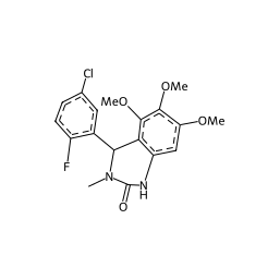 COc1cc2c(c(OC)c1OC)C(c1cc(Cl)ccc1F)N(C)C(=O)N2